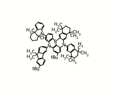 CC(C)(C)c1cc2c3c(c1)N(c1ccc4c(c1)C(C)(C)CCC4(C)C)c1cc4c(cc1B3c1ccc(N3c5ccccc5C5(C)CCCCC35C)cc1N2c1ccc2c(c1)-c1ccc(C(C)(C)C)cc1C2(C)C)C(C)(C)CCC4(C)C